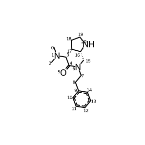 CN(C)CC(=O)N(CCc1ccccc1)C[C@@H]1CCCN1